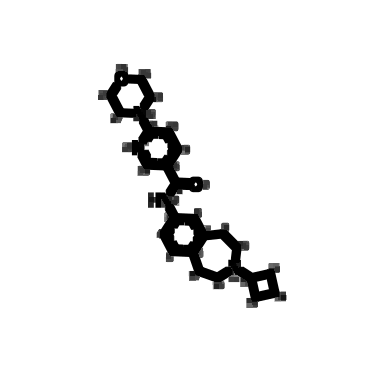 O=C(Nc1ccc2c(c1)CCN(C1CCC1)CC2)c1ccc(N2CCOCC2)nc1